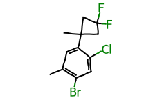 Cc1cc(C2(C)CC(F)(F)C2)c(Cl)cc1Br